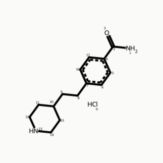 Cl.NC(=O)c1ccc(CCC2CCNCC2)cc1